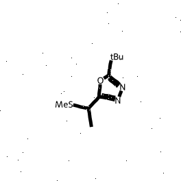 CSC(C)c1nnc(C(C)(C)C)o1